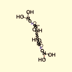 O=C(C[n+]1ccc2c(c1)CCC/C2=C\c1ccc(N(CCCCO)CCCCO)cc1)NCCSSCCNC(=O)C[n+]1ccc2c(c1)CCC/C2=C\c1ccc(N(CCCCO)CCCCO)cc1